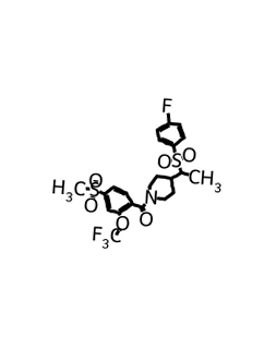 CC(C1CCN(C(=O)c2ccc(S(C)(=O)=O)cc2OC(F)(F)F)CC1)S(=O)(=O)c1ccc(F)cc1